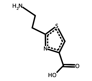 NCCc1nc(C(=O)O)cs1